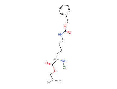 CCC(CC)COC(=O)[C@H](CCCCNC(=O)OCc1ccccc1)NCl